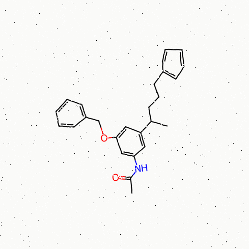 CC(=O)Nc1cc(OCc2ccccc2)cc(C(C)CCCc2ccccc2)c1